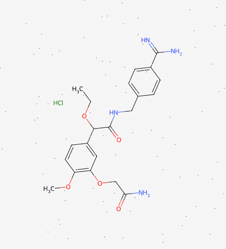 CCOC(C(=O)NCc1ccc(C(=N)N)cc1)c1ccc(OC)c(OCC(N)=O)c1.Cl